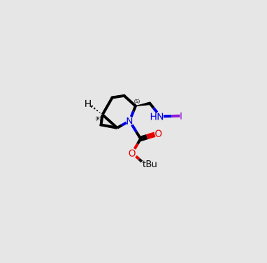 CC(C)(C)OC(=O)N1C2C[C@H]2CC[C@H]1CNI